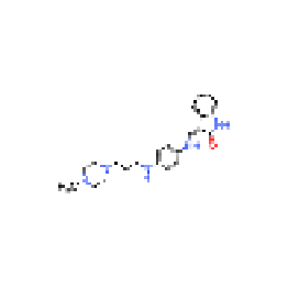 CN1CCN(CCCNc2ccc(NC=C3C(=O)Nc4ccccc43)cc2)CC1